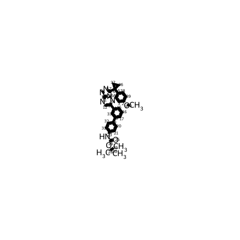 COc1ccc(C2(c3nnc4ncc(-c5cccc(-c6ccc(NC(=O)OC(C)(C)C)cc6)c5)nn34)CC2)cc1